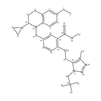 CCc1ccc2c(c1)CCC(C1CC1)N2Sc1ccc(OCc2c(C)nnn2C[Si](C)(C)C)c(C(=O)OC)c1